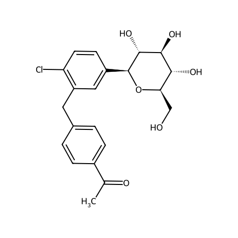 CC(=O)c1ccc(Cc2cc([C@@H]3O[C@H](CO)[C@@H](O)[C@H](O)[C@H]3O)ccc2Cl)cc1